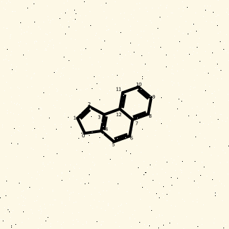 [CH]1C=Cc2c1ccc1ccccc21